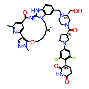 Cc1cc2cc(n1)-c1cnn(C)c1OCCC[C@@H](C)CN1/C(=N/C2=O)Nc2ccc(CN3CCN(C(=O)[C@@H]4CCN(c5cc(F)c([C@H]6CCC(=O)NC6=O)c(F)c5)C4)C[C@@H]3CO)cc21